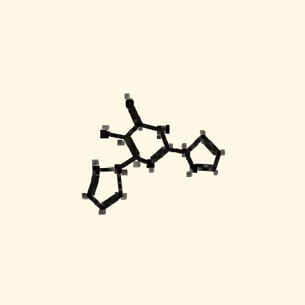 O=c1[nH]c(-n2cccn2)nc(-n2cccn2)c1Br